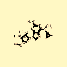 CN(c1nc(N)nc2c1ncn2[C@@H]1O[C@H](CI)[C@@H](O)[C@@]1(C)F)C1CC1